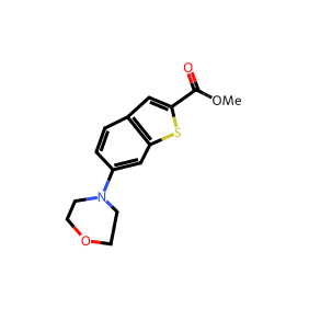 COC(=O)c1cc2ccc(N3CCOCC3)cc2s1